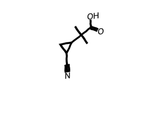 CC(C)(C(=O)O)C1CC1C#N